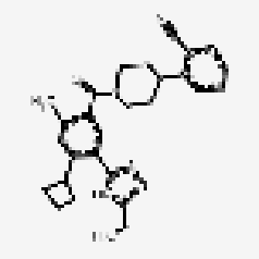 CCc1nnc(-c2cc(C(=O)N3CCC(c4ccccc4C#N)CC3)c(C)cc2C2CCC2)[nH]1